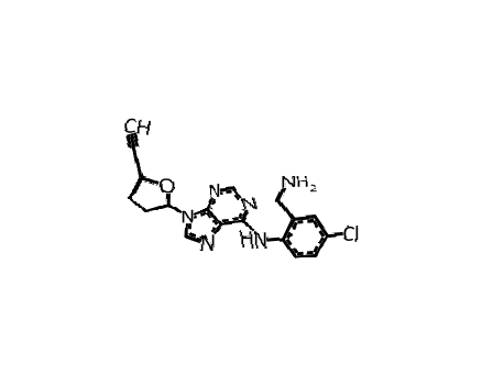 C#CC1CCC(n2cnc3c(Nc4ccc(Cl)cc4CN)ncnc32)O1